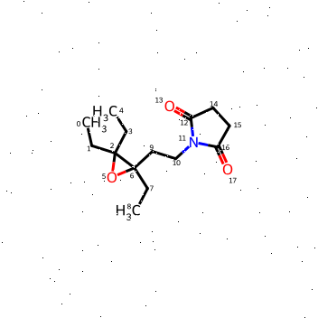 CCC1(CC)OC1(CC)CCN1C(=O)CCC1=O